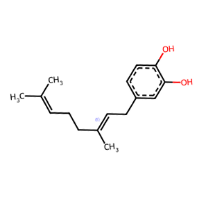 CC(C)=CCC/C(C)=C/Cc1ccc(O)c(O)c1